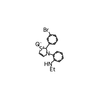 CCNc1ccccc1N1C=C[S+]([O-])C1c1cccc(Br)c1